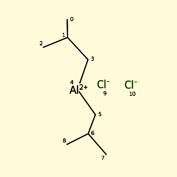 CC(C)[CH2][Al+2][CH2]C(C)C.[Cl-].[Cl-]